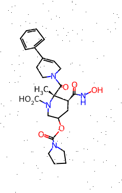 C[C@@]1(C(=O)N2CC=C(c3ccccc3)CC2)[C@@H](C(=O)NO)CC(OC(=O)N2CCCC2)CN1C(=O)O